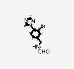 O=CNCc1ccc(-n2cncn2)c(Br)c1